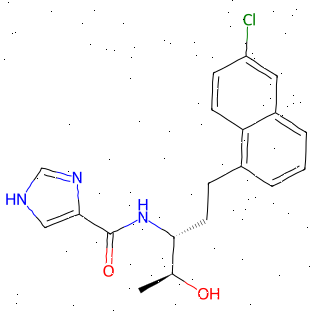 C[C@H](O)[C@@H](CCc1cccc2cc(Cl)ccc12)NC(=O)c1c[nH]cn1